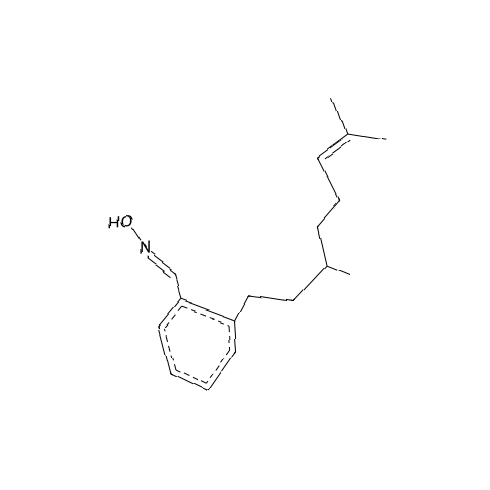 CC(C)=CCCC(C)CCc1ccccc1C=NO